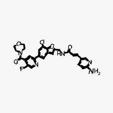 Nc1ccc(C=CC(=O)NCc2cc3cc(-c4cc(C(=O)N5CCOCC5)c(F)cn4)cc(Cl)c3o2)cn1